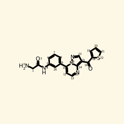 NCC(=O)Nc1cccc(-c2ccnc3c(C(=O)c4cccs4)cnn23)c1